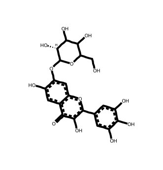 O=c1c(O)c(-c2cc(O)c(O)c(O)c2)oc2cc(OC3OC(CO)C(O)C(O)[C@H]3O)c(O)cc12